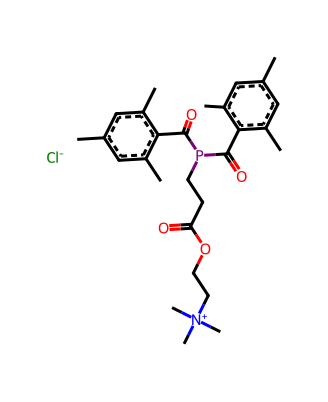 Cc1cc(C)c(C(=O)P(CCC(=O)OCC[N+](C)(C)C)C(=O)c2c(C)cc(C)cc2C)c(C)c1.[Cl-]